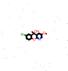 COc1cnc2c(c1)C(C)(O)c1cc(Br)ccc1O2